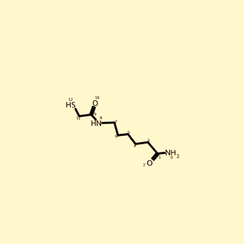 NC(=O)CCCCCNC(=O)CS